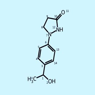 CC(O)c1ccc(N2CCC(=O)N2)cc1